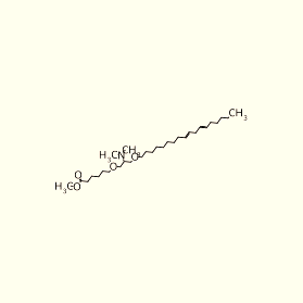 CCCCCC=CCC=CCCCCCCCCOCC(COCCCCCC(=O)OC)N(C)C